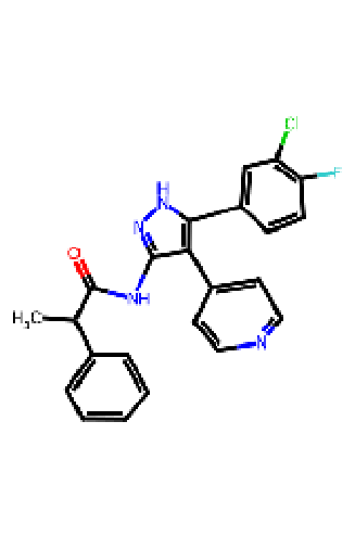 CC(C(=O)Nc1n[nH]c(-c2ccc(F)c(Cl)c2)c1-c1ccncc1)c1ccccc1